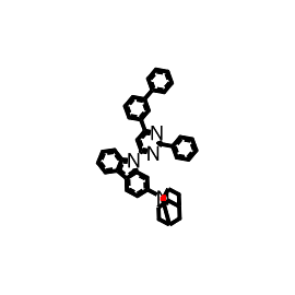 c1ccc(-c2cccc(-c3cc(-n4c5ccccc5c5ccc(N6C7CC8CC(C7)CC6C8)cc54)nc(-c4ccccc4)n3)c2)cc1